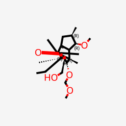 CC[C@]1(C)C[C@@H](OCOC)[C@@]2(C)C3[C@H](OC)[C@H](C)CC3(CC[C@H]2CO)C(C)C1=O